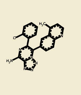 Cc1ccnc2ccc(-c3c(-c4ccccc4Cl)nc(N)c4nnnn34)cc12